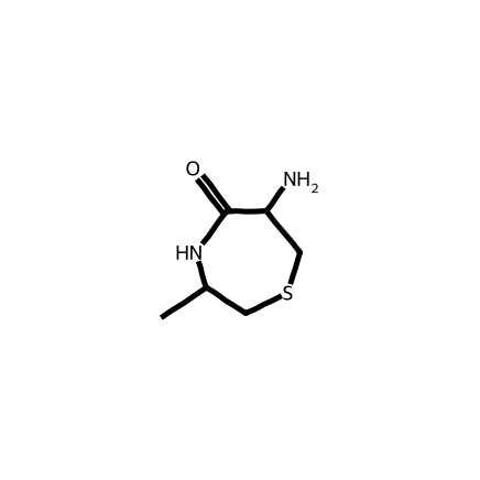 CC1CSCC(N)C(=O)N1